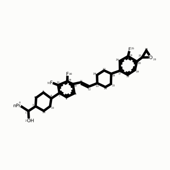 CCCC(O)C1CCC(c2ccc(/C=C/C3CCC(c4ccc(C5CO5)c(F)c4)CC3)c(F)c2F)CC1